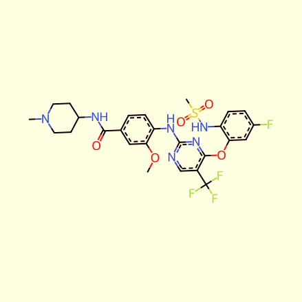 COc1cc(C(=O)NC2CCN(C)CC2)ccc1Nc1ncc(C(F)(F)F)c(Oc2cc(F)ccc2NS(C)(=O)=O)n1